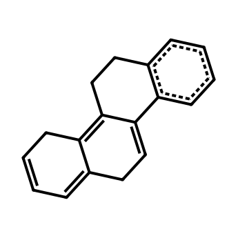 C1=CCC2=C3CCc4ccccc4C3=CCC2=C1